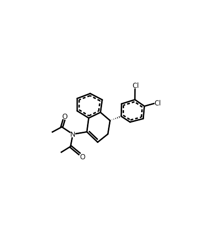 CC(=O)N(C(C)=O)C1=CC[C@@H](c2ccc(Cl)c(Cl)c2)c2ccccc21